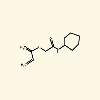 C=CC(=C)OCC(=O)NC1CCCCC1